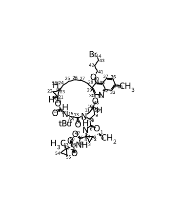 C=C[C@@H]1C[C@]1(NC(=O)[C@@H]1C[C@@H]2CN1C(=O)[C@H](C(C)(C)C)NC(=O)O[C@@H]1C[C@H]1CCCCCc1c(nc3cc(C)ccc3c1OCCCBr)O2)C(=O)NS(=O)(=O)C1(C)CC1